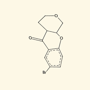 O=C1c2cc(Br)ccc2OC2COCCC12